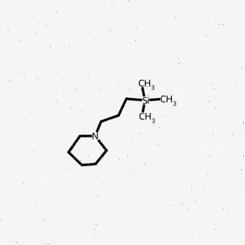 C[Si](C)(C)CCCN1CCCCC1